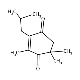 CC1=C(CC(C)C)C(=O)CC(C)(C)C1=O